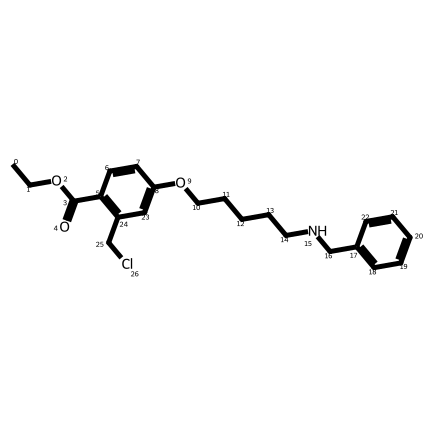 CCOC(=O)c1ccc(OCCCCCNCc2ccccc2)cc1CCl